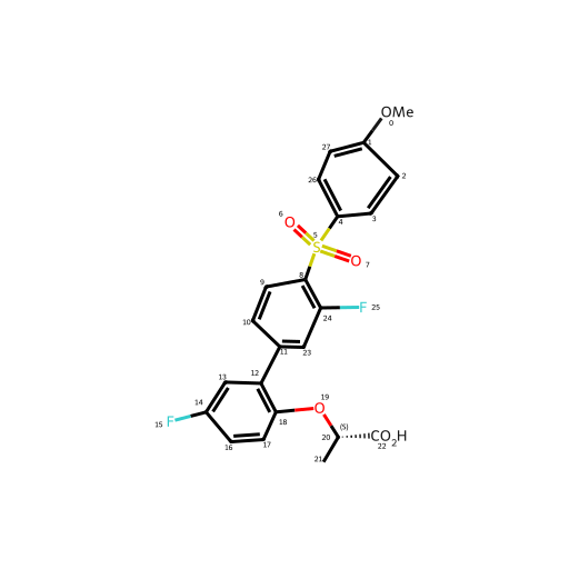 COc1ccc(S(=O)(=O)c2ccc(-c3cc(F)ccc3O[C@@H](C)C(=O)O)cc2F)cc1